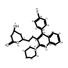 O=C1CC(O)CC(CCc2c(N3CCCCC3)nc3ccccc3c2-c2ccc(F)cc2)O1